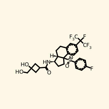 O=C(N[C@@H]1CCC2(S(=O)(=O)c3ccc(F)cc3)c3ccc(C(F)(C(F)(F)F)C(F)(F)F)cc3CC[C@@H]12)C1CC(O)(CO)C1